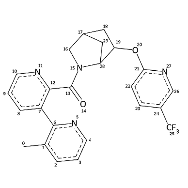 Cc1cccnc1-c1cccnc1C(=O)N1CC2CC(Oc3ccc(C(F)(F)F)cn3)C1C2